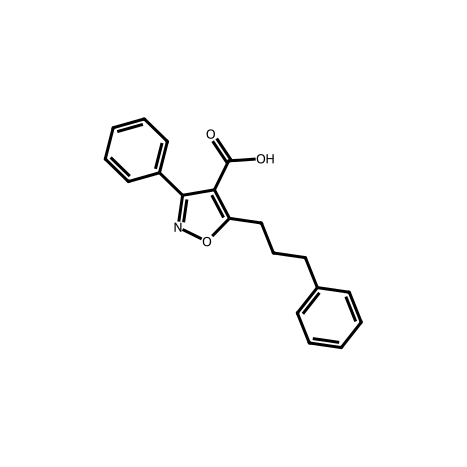 O=C(O)c1c(-c2ccccc2)noc1CCCc1ccccc1